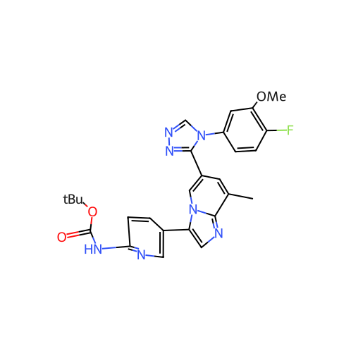 COc1cc(-n2cnnc2-c2cc(C)c3ncc(-c4ccc(NC(=O)OC(C)(C)C)nc4)n3c2)ccc1F